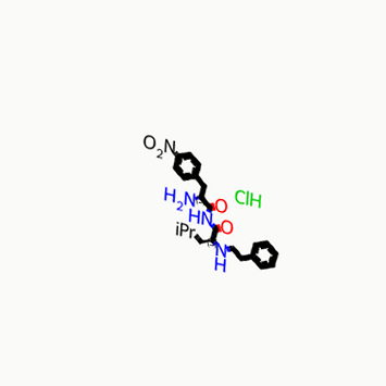 CC(C)C[C@H](NCCc1ccccc1)C(=O)NC(=O)[C@@H](N)Cc1ccc([N+](=O)[O-])cc1.Cl